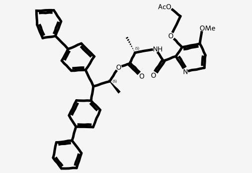 COc1ccnc(C(=O)N[C@@H](C)C(=O)O[C@@H](C)C(c2ccc(-c3ccccc3)cc2)c2ccc(-c3ccccc3)cc2)c1OCOC(C)=O